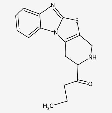 CCCC(=O)C1Cc2c(sc3nc4ccccc4n23)CN1